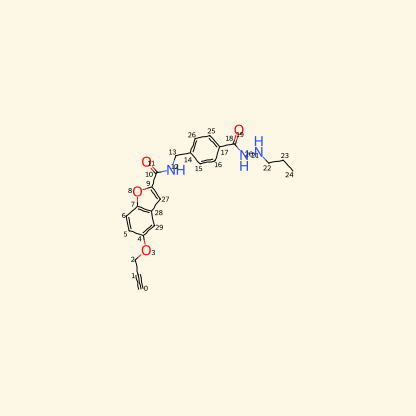 C#CCOc1ccc2oc(C(=O)NCc3ccc(C(=O)NNCCC)cc3)cc2c1